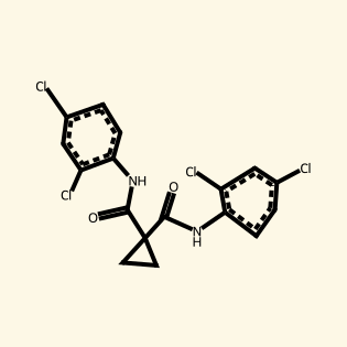 O=C(Nc1ccc(Cl)cc1Cl)C1(C(=O)Nc2ccc(Cl)cc2Cl)CC1